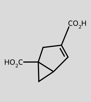 O=C(O)C1=CC2CC2(C(=O)O)C1